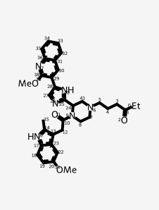 CCC(=O)CCCN1CCN(C(=O)Cc2c(C)[nH]c3ccc(OC)cc23)C(c2ncc(-c3cc4ccccc4nc3OC)[nH]2)C1